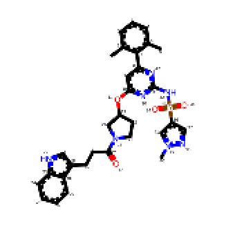 Cc1cccc(C)c1-c1cc(OC2CCN(C(=O)CCc3c[nH]c4ccccc34)C2)nc(NS(=O)(=O)c2cnn(C)c2)n1